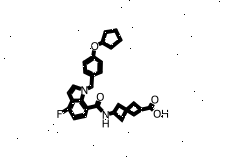 O=C(NC1CC2(C1)CC(C(=O)O)C2)c1ccc(F)c2ccn(Cc3ccc(OC4CCCC4)cc3)c12